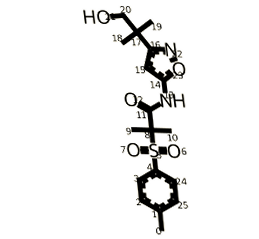 Cc1ccc(S(=O)(=O)C(C)(C)C(=O)Nc2cc(C(C)(C)CO)no2)cc1